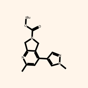 Cc1cc(-c2cnn(C)c2)c2c(n1)CN(C(=O)OC(C)(C)C)C2